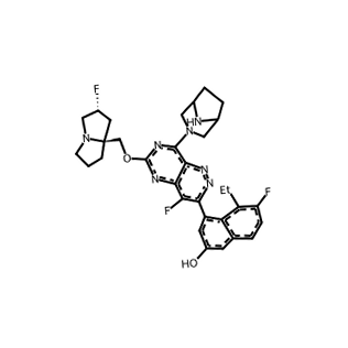 CCc1c(F)ccc2cc(O)cc(-c3nnc4c(N5CC6CCC(C5)N6)nc(OC[C@@]56CCCN5C[C@H](F)C6)nc4c3F)c12